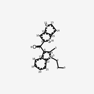 CCCn1c(C)c(C(=O)c2cc3sccc3s2)c2ccccc21